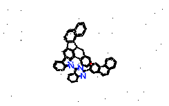 c1ccc2c(c1)CC1c3c(cc4c5ccccc5n(-c5nc(-c6ccc7c(ccc8ccccc87)c6)nc6ccccc56)c4c3-2)-c2ccc3ccccc3c21